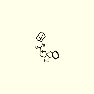 O=C(NC1C2CC3CC(C2)CC1C3)N1CCCC2(Cc3ccccc3C2O)C1